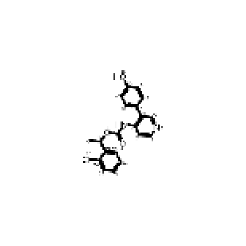 CC(OC(=O)Nc1ccncc1-c1ccc(O)cc1)c1ccccc1Cl